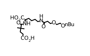 CCCCOCCOCCC(=O)NCCCC[C@H](NC(=O)C(C)(C)CCC(=O)O)C(=O)O